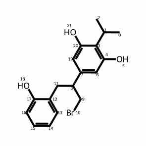 CC(C)c1c(O)cc(C(CBr)Cc2ccccc2O)cc1O